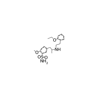 CCOc1ccccc1CCNC(C)Cc1ccc(OC)c(S(N)(=O)=O)c1